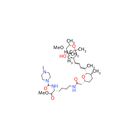 COC(=O)[C@@H](CCCCNC(=O)C[C@H]1CC[C@H](C)[C@@H](/C(C)=C/C=C/[C@@H](C)CC(C)(C)OC(C)[C@@H](OC)[C@@H](C)O)O1)NC(=O)N1CCN(I)CC1